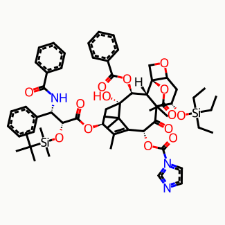 CC[Si](CC)(CC)O[C@H]1CC2OC[C@@]2(OC(C)=O)[C@H]2[C@H](OC(=O)c3ccccc3)[C@]3(O)C[C@H](OC(=O)[C@H](O[Si](C)(C)C(C)(C)C)[C@@H](NC(=O)c4ccccc4)c4ccccc4)C(C)=C([C@@H](OC(=O)n4ccnc4)C(=O)C12C)C3(C)C